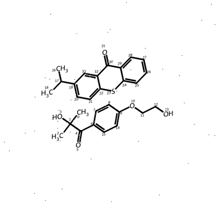 CC(C)(O)C(=O)c1ccc(OCCO)cc1.CC(C)c1ccc2sc3ccccc3c(=O)c2c1